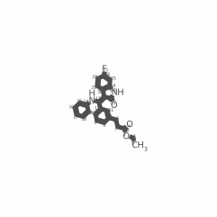 CCOC(=O)CCc1cccc(C(Nc2ccccc2)=C2C(=O)Nc3cc(F)ccc32)c1